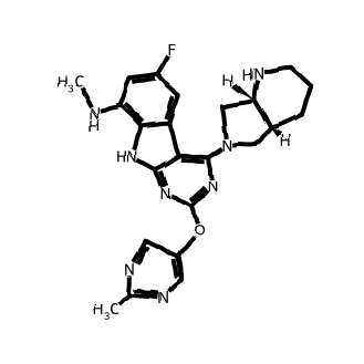 CNc1cc(F)cc2c1[nH]c1nc(Oc3cnc(C)nc3)nc(N3C[C@H]4CCCN[C@H]4C3)c12